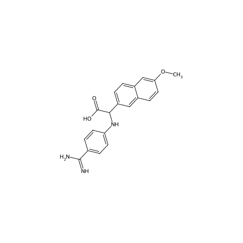 COc1ccc2cc(C(Nc3ccc(C(=N)N)cc3)C(=O)O)ccc2c1